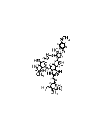 COc1ccc(O[C@@H]2OC([C@H](O)C[C@H]3O[C@@H](O[C@H]4O[C@@H](CO)C(O)C(O)C4NC(C)=O)C(NC(=O)/C=C/C(C)CC(C)C(C)C)C(O)C3O)[C@@H](O)[C@H]2O)cc1